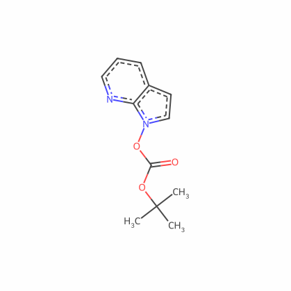 CC(C)(C)OC(=O)On1ccc2cccnc21